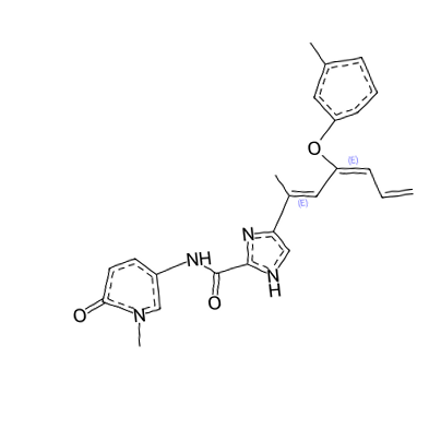 C=C/C=C(\C=C(/C)c1c[nH]c(C(=O)Nc2ccc(=O)n(C)c2)n1)Oc1cccc(C)c1